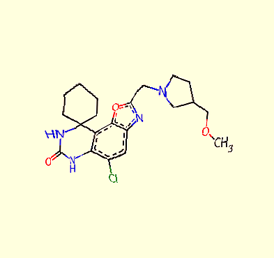 COCC1CCN(Cc2nc3cc(Cl)c4c(c3o2)C2(CCCCC2)NC(=O)N4)C1